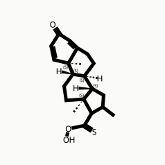 CC1C[C@H]2[C@@H]3CCC4=CC(=O)C=C[C@]4(C)[C@H]3CC[C@]2(C)C1C(=S)OO